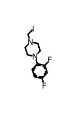 Fc1ccc(N2CCN(CI)CC2)c(F)c1